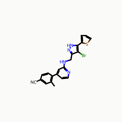 Cc1cc(C#N)ccc1-c1ccnc(NCc2n[nH]c(-c3cccs3)c2Br)c1